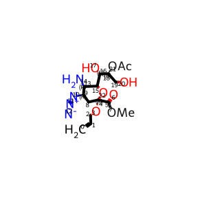 C=CCO[C@]1(C(=O)OC)C[C@@H](N=[N+]=[N-])[C@@H](N)C([C@H](O)[C@@H](CO)OC(C)=O)O1